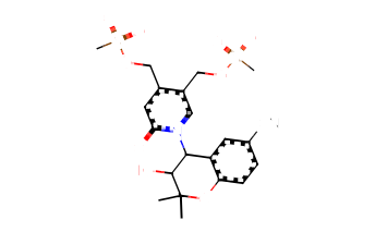 CC1(C)Oc2ccc(C#N)cc2C(n2cc(COS(C)(=O)=O)c(COS(C)(=O)=O)cc2=O)C1O